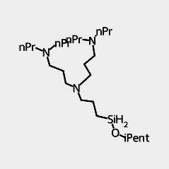 CCCC(C)O[SiH2]CCCN(CCCN(CCC)CCC)CCCN(CCC)CCC